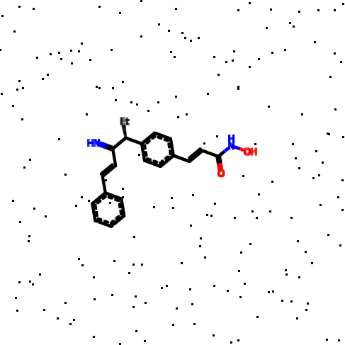 CC[C@H](C(=N)/C=C/c1ccccc1)c1ccc(/C=C/C(=O)NO)cc1